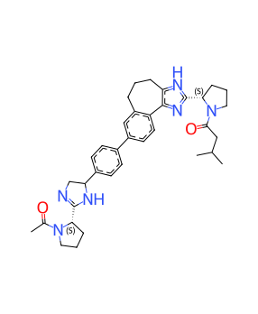 CC(=O)N1CCC[C@H]1C1=NCC(c2ccc(-c3ccc4c(c3)CCCc3[nH]c([C@@H]5CCCN5C(=O)CC(C)C)nc3-4)cc2)N1